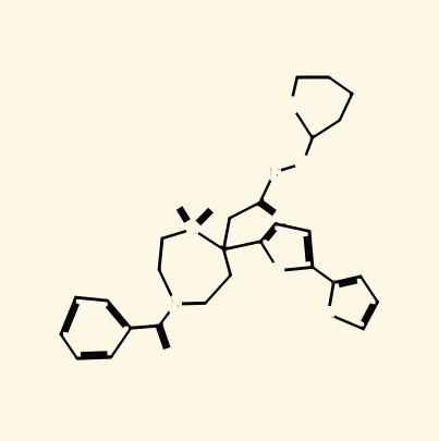 O=C(CC1(c2ccc(-c3cccs3)s2)CCN(C(=O)c2ccccc2)CCS1(=O)=O)NOC1CCCCO1